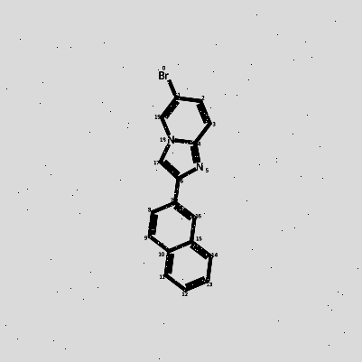 Brc1ccc2nc(-c3ccc4ccccc4c3)cn2c1